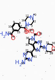 CN1CCN(C(=O)c2cccc(C(N)=O)c2)CC1.Nc1ncc(-c2nc(N3CCOCC3)nc3c2CCN3C(=O)O)cn1